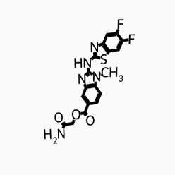 Cn1c(Nc2nc3cc(F)c(F)cc3s2)nc2cc(C(=O)OCC(N)=O)ccc21